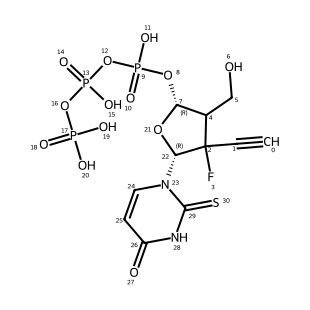 C#CC1(F)C(CO)[C@@H](OP(=O)(O)OP(=O)(O)OP(=O)(O)O)O[C@H]1n1ccc(=O)[nH]c1=S